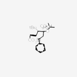 CCOC(=O)C=C[C@@H](C(C)(C)C)[C@](CCc1ccccc1)(O[SiH](C)C)C(=O)O